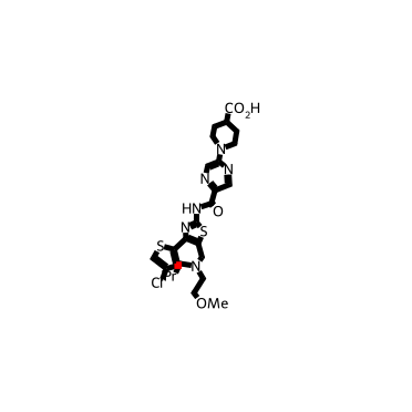 COCCN(Cc1sc(NC(=O)c2cnc(N3CCC(C(=O)O)CC3)cn2)nc1-c1cc(Cl)cs1)CC(C)C